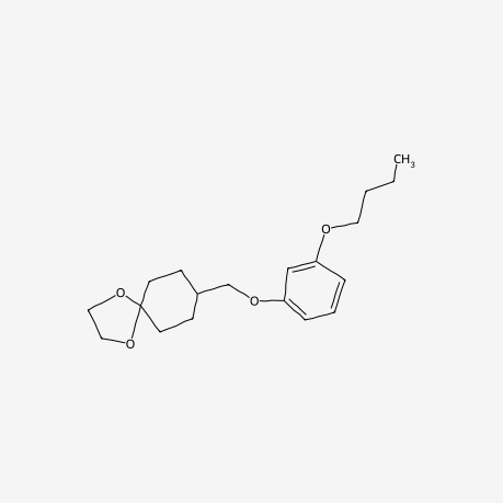 CCCCOc1cccc(OCC2CCC3(CC2)OCCO3)c1